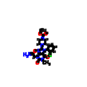 Cn1c(=O)c2c(nc(N3CCN(C(=O)OC(C)(C)C)CC3)n2-c2ccccc2Cl)n(CC(N)=O)c1=O